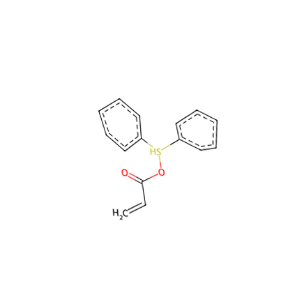 C=CC(=O)O[SH](c1ccccc1)c1ccccc1